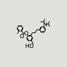 Cc1ccccc1C(=O)Oc1ccc(CO)cc1CCCc1cccc(N(C(C)C)C(C)C)c1